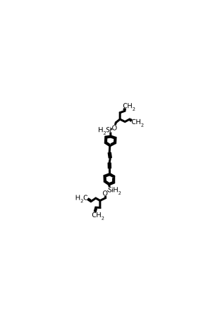 C=CCC(CC=C)CO[SiH2]c1ccc(C#CC#Cc2ccc([SiH2]OCC(CC=C)CC=C)cc2)cc1